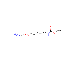 CC(C)(C)OC(=O)NCCCCCOCCN